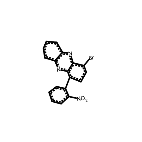 O=[N+]([O-])c1ccccc1-c1ccc(Br)c2nc3ccccc3nc12